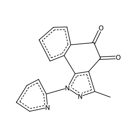 Cc1nn(-c2ccccn2)c2c1C(=O)C(=O)c1ccccc1-2